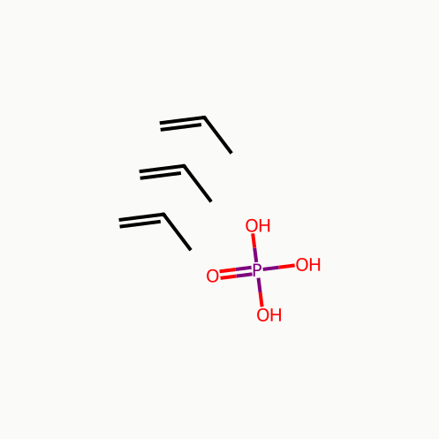 C=CC.C=CC.C=CC.O=P(O)(O)O